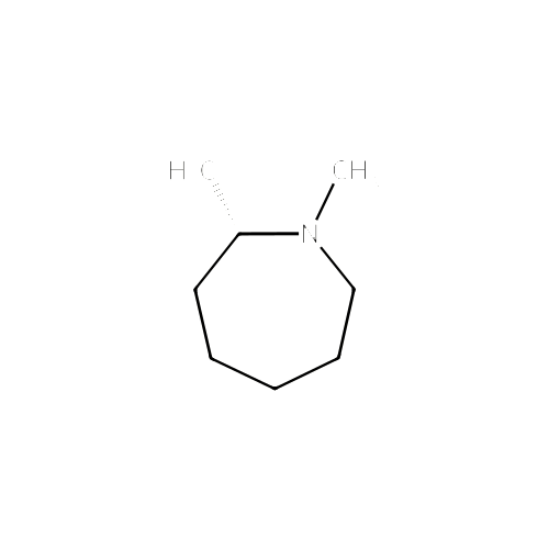 C[C@H]1CCCCCN1C